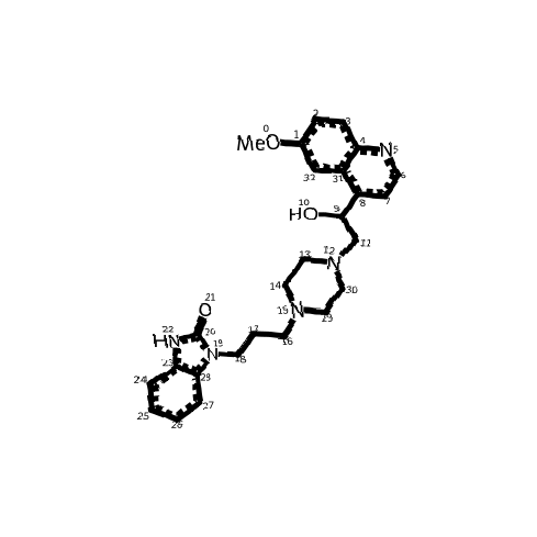 COc1ccc2nccc(C(O)CN3CCN(CCCn4c(=O)[nH]c5ccccc54)CC3)c2c1